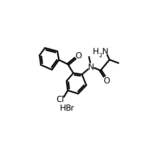 Br.CC(N)C(=O)N(C)c1ccc(Cl)cc1C(=O)c1ccccc1